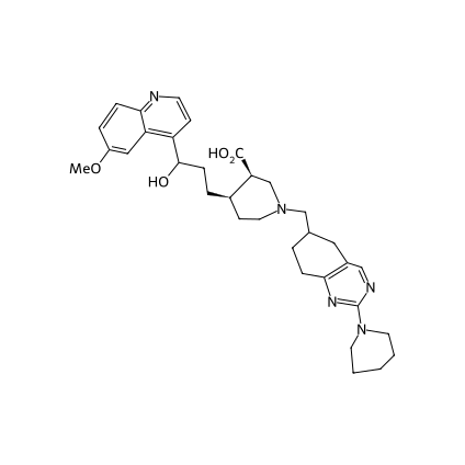 COc1ccc2nccc(C(O)CC[C@@H]3CCN(CC4CCc5nc(N6CCCCC6)ncc5C4)C[C@@H]3C(=O)O)c2c1